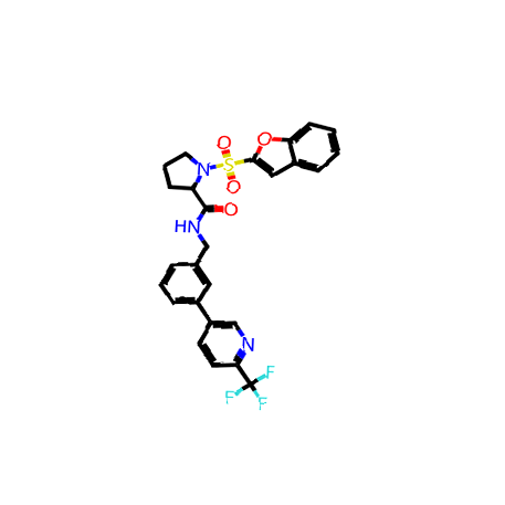 O=C(NCc1cccc(-c2ccc(C(F)(F)F)nc2)c1)C1CCCN1S(=O)(=O)c1cc2ccccc2o1